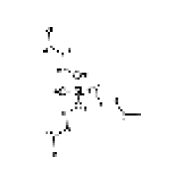 CCCCO[Si]([O])(OCCCC)OCCCC